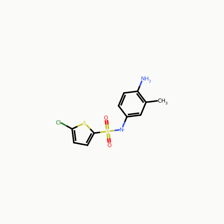 Cc1cc([N]S(=O)(=O)c2ccc(Cl)s2)ccc1N